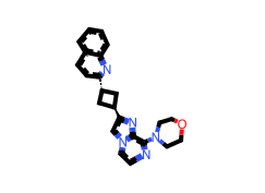 c1ccc2nc([C@H]3C[C@H](c4cn5ccnc(N6CCOCC6)c5n4)C3)ccc2c1